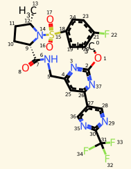 COc1nc(CNC(=O)[C@@H]2CC[C@H](C)N2S(=O)(=O)c2ccc(F)cc2)cc(-c2cnc(C(F)(F)F)nc2)n1